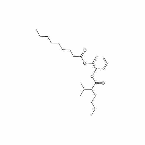 CCCCCCCCC(=O)Oc1ccccc1OC(=O)C(CCCC)C(C)C